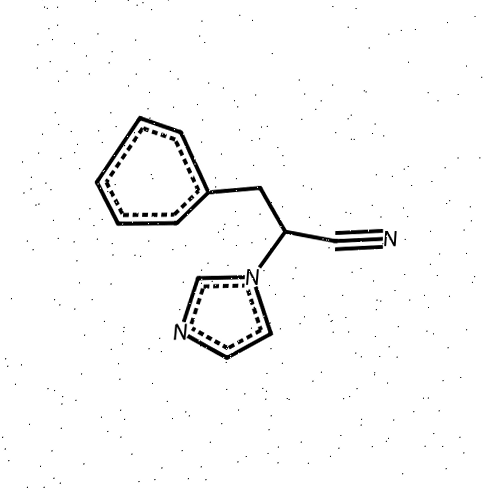 N#CC(Cc1ccccc1)n1ccnc1